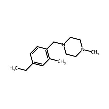 CCc1ccc(CN2CCN(C)CC2)c(C)c1